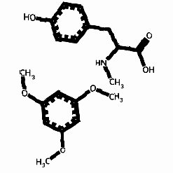 CNC(Cc1ccc(O)cc1)C(=O)O.COc1cc(OC)cc(OC)c1